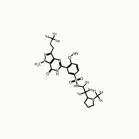 [2H]C(NS(=O)(=O)c1ccc(OCCC)c(-c2nc3c(CCC([2H])([2H])[2H])nn(C)c3c(=O)[nH]2)c1)C([2H])([2H])C1CCCN1C([2H])([2H])[2H]